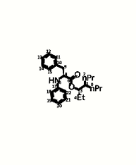 CCCC(CCC)[C@H](CC)OC(=O)[C@H](Cc1ccccc1)Nc1ccccc1